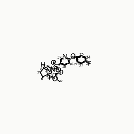 COC(=O)[C@@H]1[C@@H]2CC[C@H](CN1S(=O)(=O)c1ccc(Oc3ccc(F)cc3)nc1)N2